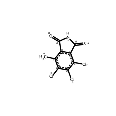 Cc1c(Cl)c(Cl)c(Cl)c2c1C(=O)NC2=S